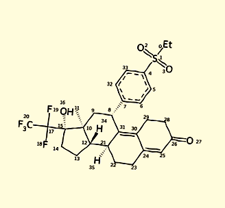 CCS(=O)(=O)c1ccc([C@H]2C[C@@]3(C)[C@@H](CC[C@@]3(O)C(F)(F)C(F)(F)F)[C@@H]3CCC4=CC(=O)CCC4=C32)cc1